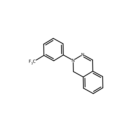 FC(F)(F)c1cccc(N2Cc3ccccc3C=N2)c1